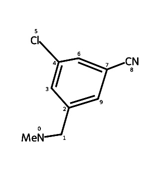 CNCc1cc(Cl)cc(C#N)c1